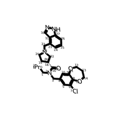 CC(C)CN(Cc1cc(Cl)c2c(c1)OCCCO2)C(=O)[C@@H]1CCN(Cc2cccc3[nH]ncc23)C1